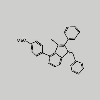 COc1ccc(-c2cccc3c2c(C)c(-c2ccccc2)n3Cc2ccccc2)cc1